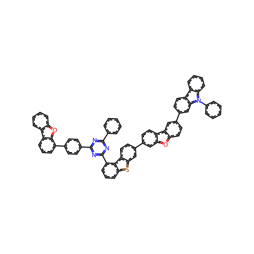 c1ccc(-c2nc(-c3ccc(-c4cccc5c4oc4ccccc45)cc3)nc(-c3cccc4sc5cc(-c6ccc7c(c6)oc6ccc(-c8ccc9c%10ccccc%10n(-c%10ccccc%10)c9c8)cc67)ccc5c34)n2)cc1